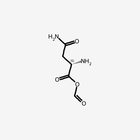 NC(=O)C[C@H](N)C(=O)OC=O